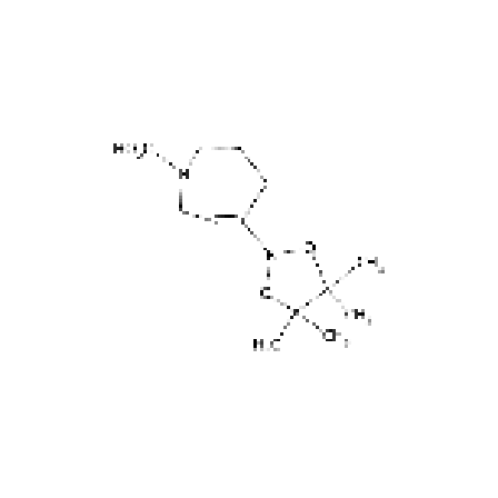 CC1(C)OB(C2=CCN(C(=O)O)CCC2)OC1(C)C